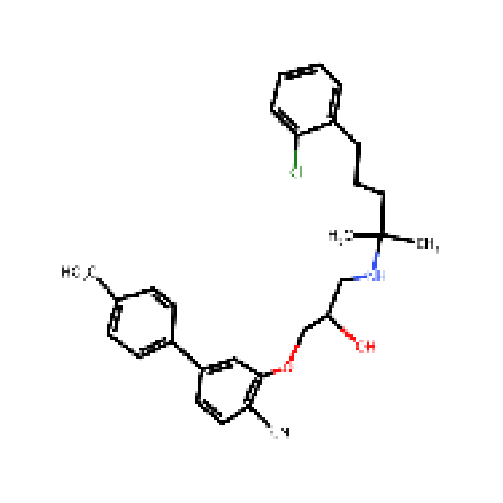 CC(C)(CCCc1ccccc1Cl)NCC(O)COc1cc(-c2ccc(C(=O)O)cc2)ccc1C#N